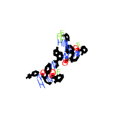 CC1=CCc2c1cc(NC(=O)[C@H]1CCCN(C(=O)c3c(C)cccc3F)C1c1ccc(NC3CCC[C@@H]3C(F)(F)F)cc1)cc2C1CCN(c2cccc(C3C(C(=O)Nc4cccc(C(C)(C)C)c4)CCCN3C(=O)c3c(C)cccc3F)c2)C1